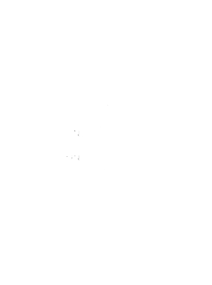 Clc1n[nH]c(C(Cl)(Cl)Cl)c1Cl